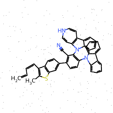 C=C/C=C\c1c(C)sc2cc(-c3ccc(-n4c5ccccc5c5ccccc54)c(-n4c5c(c6ccccc64)C=CNC=C5)c3C#N)ccc12